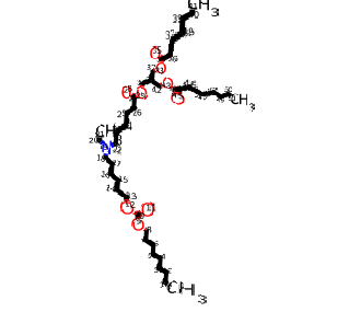 CCCCCCCCCOC(=O)OCCCCCCN(CC)CCCCCC(=O)OCC(COC(=O)CCCCCC)COC(=O)CCCCCC